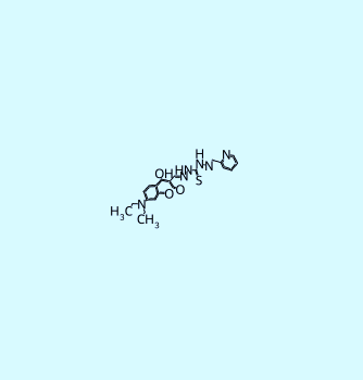 CCN(CC)c1ccc2c(O)c(C=NNC(=S)NN=Cc3ccccn3)c(=O)oc2c1